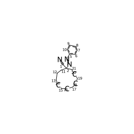 N#CC1(N=Nc2ccccc2)CCCCCCCCCCC1